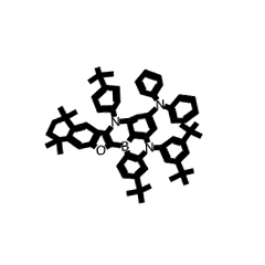 CC(C)(C)c1ccc(N2c3cc(N(c4ccccc4)c4ccccc4)cc4c3B(c3ccc(C(C)(C)C)cc3N4c3cc(C(C)(C)C)cc(C(C)(C)C)c3)c3oc4cc5c(cc4c32)C(C)(C)CCC5(C)C)cc1